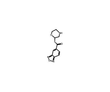 O=C(SC1CNCCO1)c1ccc2nonc2c1